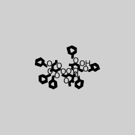 CC1OC(COC2OC(C)C(OCc3ccccc3)C(OCc3ccccc3)C2OCc2ccccc2)C(OC2OC(COCc3ccccc3)C(O)C(OCc3ccccc3)C2C)C(OCc2ccccc2)C1C